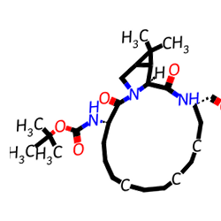 CC(C)(C)OC(=O)N[C@H]1CCCCCCCCCC[C@@H](C=O)NC(=O)[C@@H]2C3C(CN2C1=O)C3(C)C